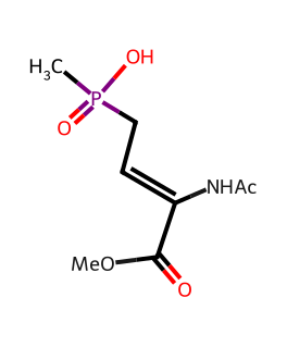 COC(=O)/C(=C/CP(C)(=O)O)NC(C)=O